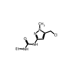 CCNC(=O)Nc1cc(CCl)n(C)n1